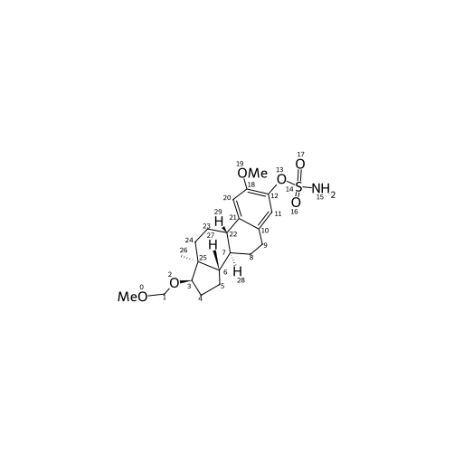 COCO[C@@H]1CC[C@H]2[C@@H]3CCc4cc(OS(N)(=O)=O)c(OC)cc4[C@H]3CC[C@]12C